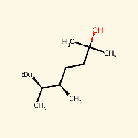 C[C@H](CCC(C)(C)O)[C@@H](C)C(C)(C)C